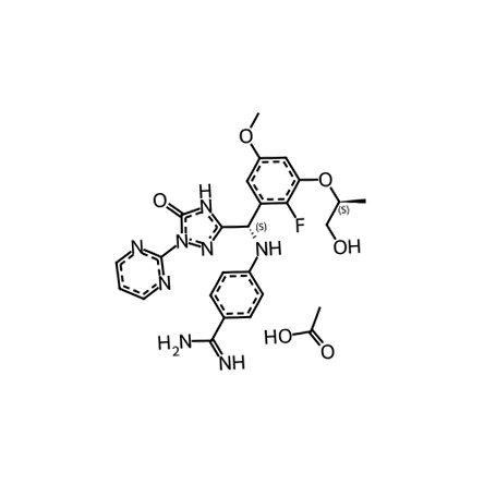 CC(=O)O.COc1cc(O[C@@H](C)CO)c(F)c([C@H](Nc2ccc(C(=N)N)cc2)c2nn(-c3ncccn3)c(=O)[nH]2)c1